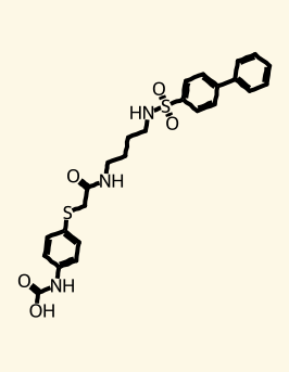 O=C(O)Nc1ccc(SCC(=O)NCCCCNS(=O)(=O)c2ccc(-c3ccccc3)cc2)cc1